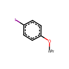 [CH2]CCOc1ccc(I)cc1